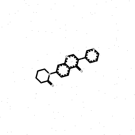 O=C1CCCCN1c1ccc2c(=O)c(-c3cccnc3)coc2c1